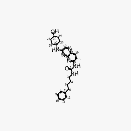 O=C(NCCCCc1ccccc1)Nc1ccc2ncc(N[C@H]3CC[C@H](O)CC3)nc2n1